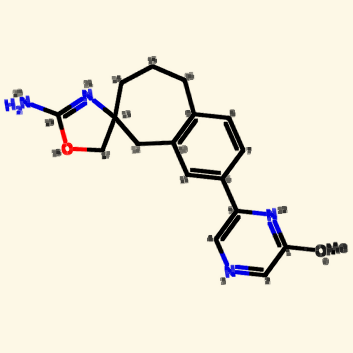 COc1cncc(-c2ccc3c(c2)CC2(CCC3)COC(N)=N2)n1